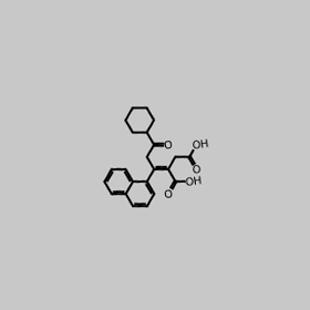 O=C(O)CC(C(=O)O)=C(CC(=O)C1CCCCC1)c1cccc2ccccc12